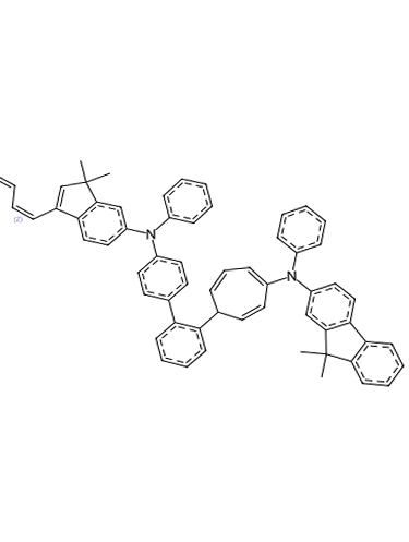 C=C/C=C\C1=CC(C)(C)c2cc(N(c3ccccc3)c3ccc(-c4ccccc4C4C=CC=C(N(c5ccccc5)c5ccc6c(c5)C(C)(C)c5ccccc5-6)C=C4)cc3)ccc21